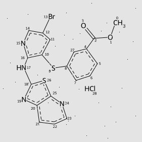 COC(=O)c1cccc(Sc2cc(Br)cnc2Nc2nc3cccnc3s2)c1.Cl